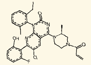 C=CC(=O)N1CCN(c2nc(=O)n(-c3c(C)cccc3CC)c3nc(-c4c(O)cccc4F)c(Cl)cc23)[C@@H](C)C1